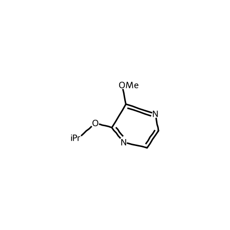 COc1nccnc1OC(C)C